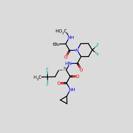 CC(F)(F)CC[C@H](NC(=O)C1CC(F)(F)CCN1C(=O)C(NC(=O)O)C(C)(C)C)C(=O)C(=O)NC1CC1